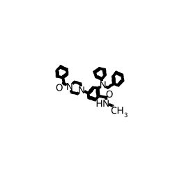 CCNC(=O)c1ccc(N2CCN(C(=O)c3ccccc3)CC2)cc1N(Cc1ccccc1)c1ccccc1